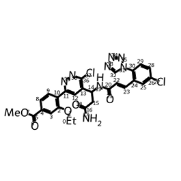 CCOc1cc(C(=O)OC)ccc1-c1cc(C(CC(N)=O)NC(=O)/C=C/c2cc(Cl)ccc2-n2cnnn2)c(Cl)nn1